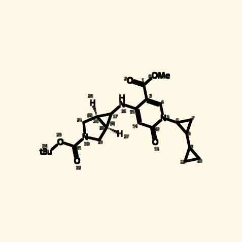 COC(=O)c1cn(C2CC2C2CC2)c(=O)cc1NC1[C@H]2CN(C(=O)OC(C)(C)C)C[C@@H]12